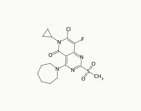 CS(=O)(=O)c1nc(N2CCCCCC2)c2c(=O)n(C3CC3)c(Cl)c(F)c2n1